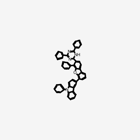 c1ccc(C2=NC(c3ccc4c(oc5c(-c6ccc7c(c6)c6ccccc6n7-c6ccccc6)cccc54)c3-c3ccccc3)NC(c3ccccc3)=N2)cc1